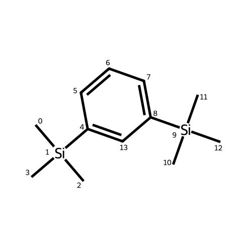 C[Si](C)(C)c1cccc([Si](C)(C)C)c1